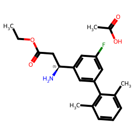 CC(=O)O.CCOC(=O)C[C@H](N)c1cc(F)cc(-c2c(C)cccc2C)c1